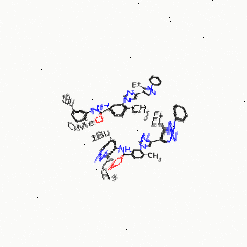 CCc1c(-c2cn(-c3cc(C(=O)Nc4cc(C(C)(C)C)ccc4OC)ccc3C)cn2)cnn1-c1ccccc1.CCc1c(-c2cn(-c3cc(C(=O)Nc4cc(C(C)(C)C)cnc4C)ccc3C)cn2)cnn1-c1ccccc1